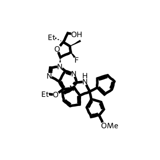 CCOc1nc(NC(c2ccccc2)(c2ccccc2)c2ccc(OC)cc2)nc2c1ncn2[C@@H]1O[C@@](CC)(CO)[C@@H](C)[C@H]1F